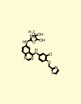 C[C@]1(O)N=C(Nc2ccc3ncnc(Nc4ccc(OCc5nccs5)c(Cl)c4)c3c2)OC1O